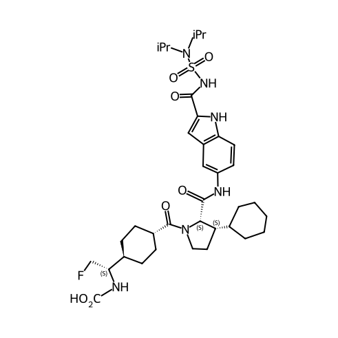 CC(C)N(C(C)C)S(=O)(=O)NC(=O)c1cc2cc(NC(=O)[C@@H]3[C@H](C4CCCCC4)CCN3C(=O)[C@H]3CC[C@H]([C@@H](CF)NC(=O)O)CC3)ccc2[nH]1